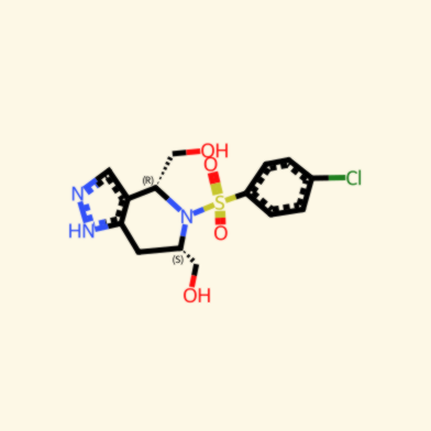 O=S(=O)(c1ccc(Cl)cc1)N1[C@H](CO)Cc2[nH]ncc2[C@@H]1CO